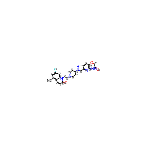 N#Cc1cc(F)cc2c1ccc(=O)n2CCN1CCC(NCc2ccc3c(n2)NC(=O)CO3)CC1